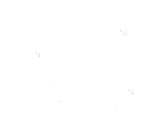 NCc1cnccc1-c1ccnc(Cl)c1F